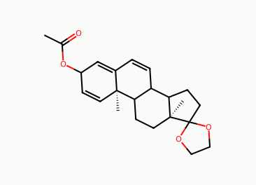 CC(=O)OC1C=C[C@@]2(C)C(=C1)C=CC1C2CC[C@@]2(C)C1CCC21OCCO1